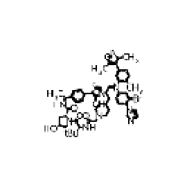 Cc1ccc(-c2c(C)noc2C)cc1N(CCCC1CCN(CC(=O)N[C@H](C(=O)N2C[C@H](O)C[C@H]2C(=O)N[C@@H](C)c2ccc(-c3scnc3C)cc2)C(C)(C)C)CC1)c1ccc(-n2ccnc2)c(Br)c1